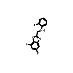 Fc1cc(F)c2sc(CNc3ccccc3F)nc2c1